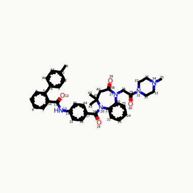 Cc1ccc(-c2ccccc2C(=O)Nc2ccc(C(=O)N3c4ccccc4N(CC(=O)N4CCN(C)CC4)C(=O)CC3(C)C)cc2)cc1